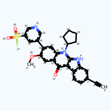 C#Cc1ccc2c(c1)[nH]c1c2c(=O)c2cc(OC)c(-c3cncc(S(=O)(=O)F)c3)cc2n1C1CCCC1